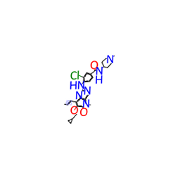 C/C=C/c1c(OCC2CC2)c(=O)n(C)c2cnc(Nc3ccc(C(=O)NC4CCN(C)CC4)cc3Cl)nc12